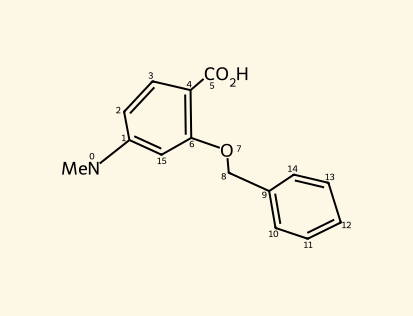 CNc1ccc(C(=O)O)c(OCc2ccccc2)c1